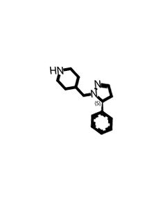 C1=NN(CC2CCNCC2)[C@H](c2ccccc2)C1